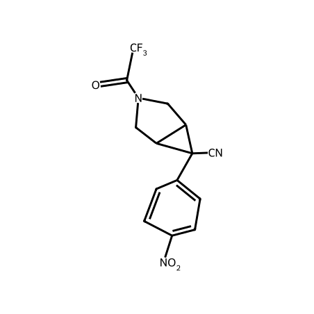 N#CC1(c2ccc([N+](=O)[O-])cc2)C2CN(C(=O)C(F)(F)F)CC21